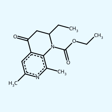 CCOC(=O)N1c2c(cc(C)nc2C)C(=O)CC1CC